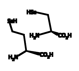 N[C@@H](CC[SeH])C(=O)O.N[C@@H](C[SeH])C(=O)O